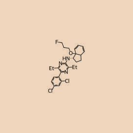 CCc1nc(-c2ccc(Cl)cc2Cl)c(CC)nc1N[C@H]1CCC2C=CC=CC21OCCCF